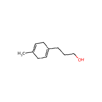 CC1=CCC(CCCO)=CC1